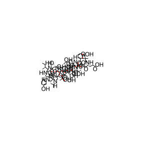 CC[C@H](C)[C@H](NC(=O)[C@H](CO)NC(=O)[C@H](Cc1ccc(O)cc1)NC(=O)[C@H](CC(=O)O)NC(=O)[C@H](CO)NC(=O)[C@@H](NC(=O)[C@H](Cc1ccccc1)NC(=O)[C@@H](NC(=O)CNC(=O)[C@H](CCC(=O)O)NC(=O)C(C)(C)C(=O)O)[C@@H](C)O)[C@@H](C)O)C(=O)N[C@@H](Cc1ccc(O)cc1)C(=O)N[C@@H](CC(C)C)C(=O)N[C@@H](CC(=O)O)C(=O)N[C@H](C)CCCCN